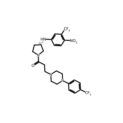 O=C(CCN1CCN(c2ccc(C(F)(F)F)cc2)CC1)N1CC[C@H](Nc2ccc([N+](=O)[O-])c(C(F)(F)F)c2)C1